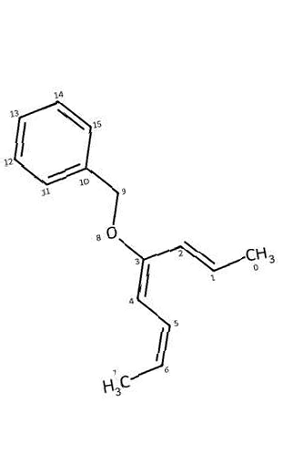 CC=C/C(=C\C=C/C)OCc1ccccc1